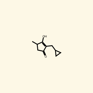 CC1CC(=O)C(CC2CC2)=C1O